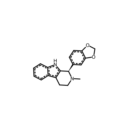 CN1CCc2c([nH]c3ccccc23)[C@H]1c1ccc2c(c1)OCO2